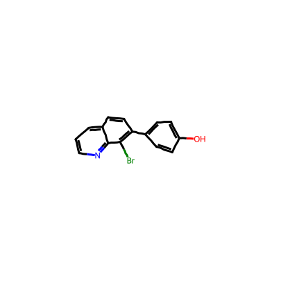 Oc1ccc(-c2ccc3cccnc3c2Br)cc1